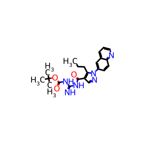 CCCc1c(C(=O)NC(=N)NC(=O)OC(C)(C)C)cnn1-c1ccc2ncccc2c1